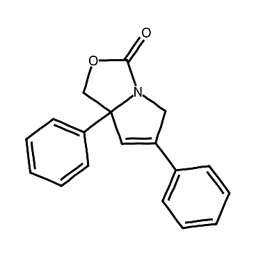 O=C1OCC2(c3ccccc3)C=C(c3ccccc3)CN12